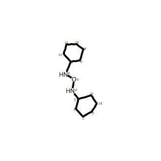 C1CCC(NONC2CCCCC2)CC1